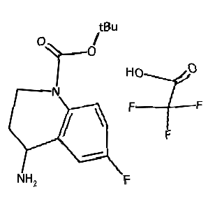 CC(C)(C)OC(=O)N1CCC(N)c2cc(F)ccc21.O=C(O)C(F)(F)F